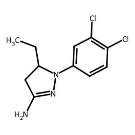 CCC1CC(N)=NN1c1ccc(Cl)c(Cl)c1